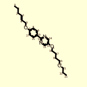 CCCC=CCOc1ccc(-c2ncc(OCCCCOCCC)cn2)cc1